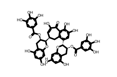 O=C(O[C@@H]1Cc2c(O)cc(O)cc2OC1[C@H]1C=C(O)C(=O)c2c(O)c(O)cc([C@H]3Oc4cc(O)cc(O)c4C[C@H]3OC(=O)c3cc(O)c(O)c(O)c3)c2C1)c1cc(O)c(O)c(O)c1